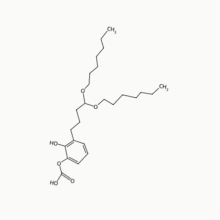 CCCCCCCOC(CCCc1cccc(OC(=O)O)c1O)OCCCCCCC